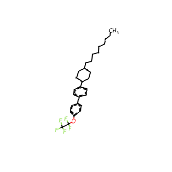 CCCCCCCCCC1CCC(c2ccc(-c3ccc(OC(F)(F)C(F)(F)F)cc3)cc2)CC1